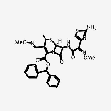 CON=CC1=C(C(=O)OC(c2ccccc2)c2ccccc2)N2C(=O)C(NC(=O)/C(=N\OC)c3csc(N)n3)[C@@H]2S[C@@H]1C